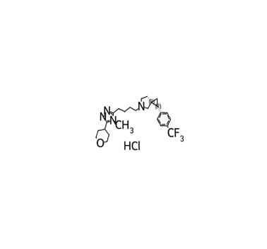 Cl.Cn1c(CCCCN2CC[C@@]3(C[C@@H]3c3ccc(C(F)(F)F)cc3)C2)nnc1C1CCOCC1